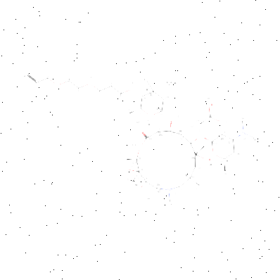 C=CCOCCOCCCO[C@H]1[C@H](C)O[C@@H](O[C@H]2[C@H](C)[C@@H](O[C@@H]3O[C@H](C)C[C@H](N(C)C)[C@H]3O[C@@H](C)O)[C@](C)(O)C[C@@H](C)CN(C)[C@H](C)[C@@H](O)[C@](C)(O)[C@@H](CC)OC(=O)[C@@H]2C)C[C@@]1(C)OC